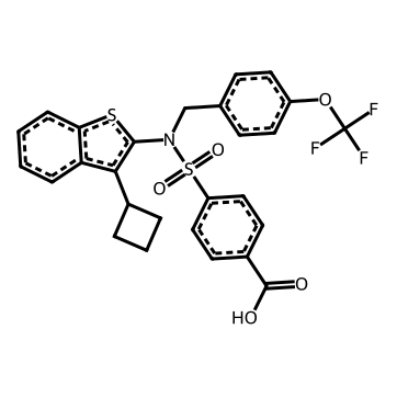 O=C(O)c1ccc(S(=O)(=O)N(Cc2ccc(OC(F)(F)F)cc2)c2sc3ccccc3c2C2CCC2)cc1